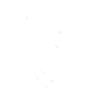 C=NN/C(=N\N)c1ccc2c(c1)N=C(NC1=CCC(OC(F)(F)F)C=C1)C1C=CSC21